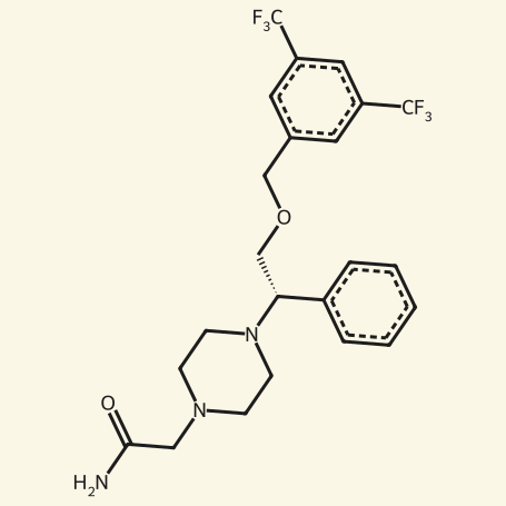 NC(=O)CN1CCN([C@H](COCc2cc(C(F)(F)F)cc(C(F)(F)F)c2)c2ccccc2)CC1